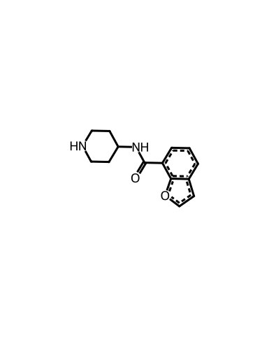 O=C(NC1CCNCC1)c1cccc2ccoc12